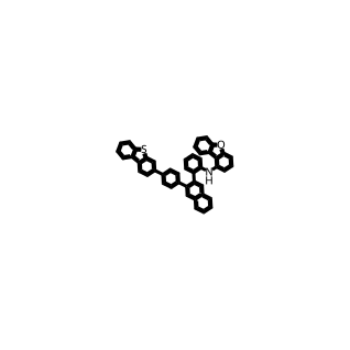 c1ccc(-c2cc3ccccc3cc2-c2ccc(-c3ccc4c(c3)sc3ccccc34)cc2)c(Nc2cccc3oc4ccccc4c23)c1